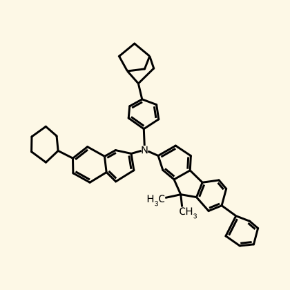 CC1(C)c2cc(-c3ccccc3)ccc2-c2ccc(N(c3ccc(C4CC5CCC4C5)cc3)c3ccc4ccc(C5CCCCC5)cc4c3)cc21